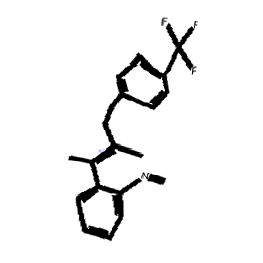 C=Nc1ccccc1/C(C)=C(\C)Cc1ccc(C(F)(F)F)cc1